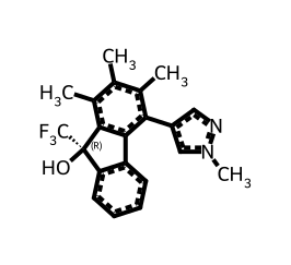 Cc1c(C)c(-c2cnn(C)c2)c2c(c1C)[C@@](O)(C(F)(F)F)c1ccccc1-2